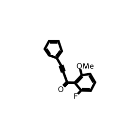 COc1cccc(F)c1C(=O)C#Cc1ccccc1